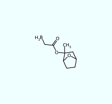 BCC(=O)OC1(C)CC2CCC1O2